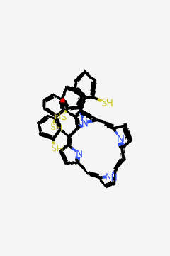 Sc1ccccc1-c1c(-c2ccccc2S)c2c(-c3ccccc3S)c3nc(cc4ccc(cc5nc(cc1n2-c1ccccc1S)C=C5)[nH]4)C=C3